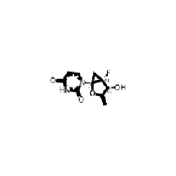 C=C1O[C@]2(n3ccc(=O)[nH]c3=O)C[C@@]2(F)[C@@H]1O